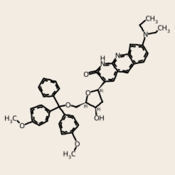 CCN(CC)c1ccc2cc3cc([C@H]4C[C@@H](O)[C@@H](COC(c5ccccc5)(c5ccc(OC)cc5)c5ccc(OC)cc5)O4)c(=O)[nH]c3nc2c1